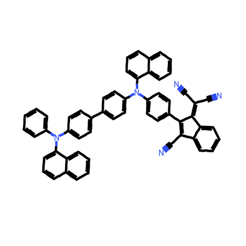 N#CC(C#N)=C1C(c2ccc(N(c3ccc(-c4ccc(N(c5ccccc5)c5cccc6ccccc56)cc4)cc3)c3cccc4ccccc34)cc2)=C(C#N)c2ccccc21